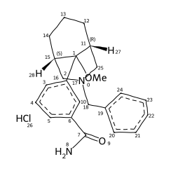 COC1(c2cccc(C(N)=O)c2)[C@@H]2CCC[C@H]1CN(Cc1ccccc1)C2.Cl